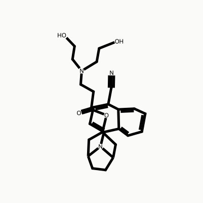 N#Cc1ccc(N2C3CCC2CC(OC(=O)CCN(CCO)CCO)C3)c2ccccc12